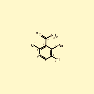 CC(C)(C)c1c(Cl)cnc(Cl)c1C(N)=O